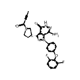 CC#CC(=O)N1CC[C@@H](c2nn(-c3ccc(Oc4c(F)cccc4F)cc3)c3c(N)n[nH]c(=O)c23)C1